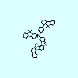 CC1(C)c2ccccc2-c2ccc(N(c3ccc(-c4cccc5c4C(C)(C)c4ccccc4-5)cc3)c3ccc4sc5ccc6c(oc7ccc8ccccc8c76)c5c4c3)cc21